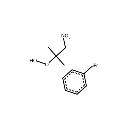 CC(C)(C[N+](=O)[O-])OO.CC(C)c1ccccc1